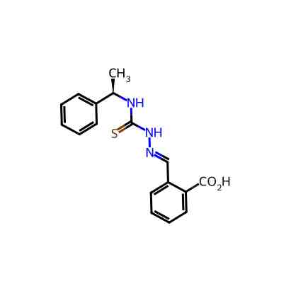 C[C@@H](NC(=S)NN=Cc1ccccc1C(=O)O)c1ccccc1